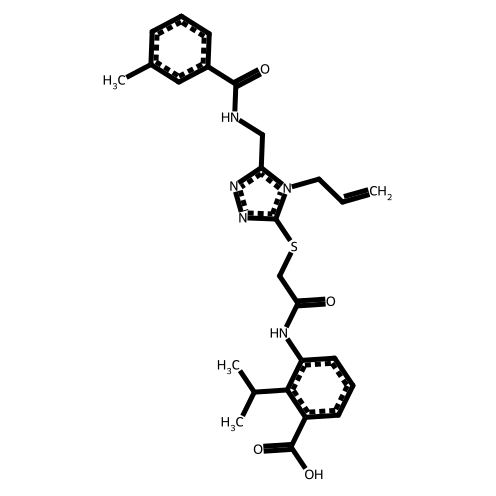 C=CCn1c(CNC(=O)c2cccc(C)c2)nnc1SCC(=O)Nc1cccc(C(=O)O)c1C(C)C